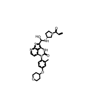 C=CC(=O)N1CC[C@@H](NC(O)c2sc3nccc4c3c2NC(=O)N4c2ccc(OC3CCOCC3)cc2C)C1